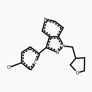 Clc1ccc(-c2nn(CC3CCOC3)c3ccncc23)cc1